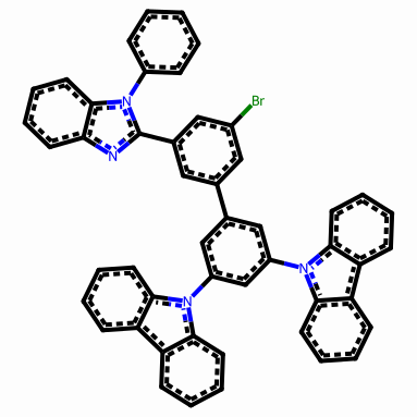 Brc1cc(-c2cc(-n3c4ccccc4c4ccccc43)cc(-n3c4ccccc4c4ccccc43)c2)cc(-c2nc3ccccc3n2-c2ccccc2)c1